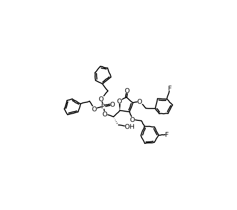 O=C1O[C@H]([C@H](CO)OP(=O)(OCc2ccccc2)OCc2ccccc2)C(OCc2cccc(F)c2)=C1OCc1cccc(F)c1